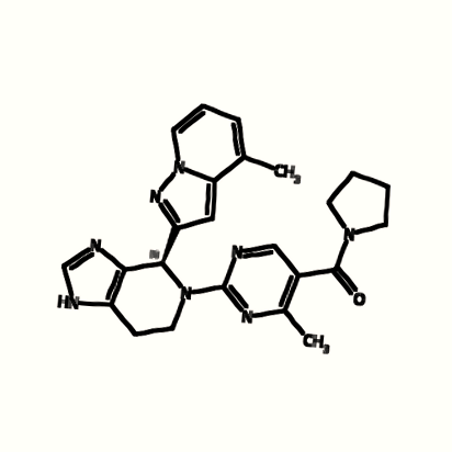 Cc1nc(N2CCc3[nH]cnc3[C@H]2c2cc3c(C)cccn3n2)ncc1C(=O)N1CCCC1